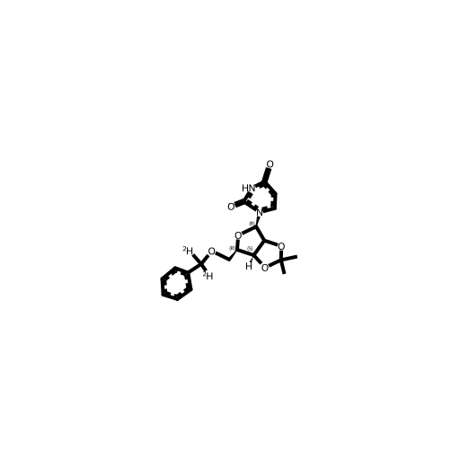 [2H]C([2H])(OC[C@H]1O[C@@H](n2ccc(=O)[nH]c2=O)C2OC(C)(C)O[C@H]21)c1ccccc1